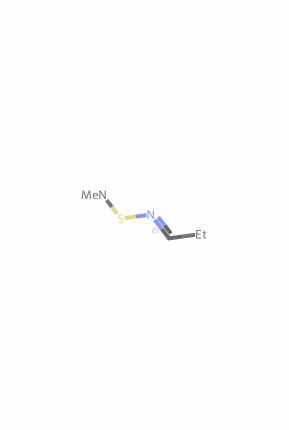 CC/C=N/SNC